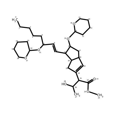 CCCCCC(C=CC1C(OC2CCCCO2)CC2C=C(C(C(=O)OC)C(C)O)CC21)OC1CCCCO1